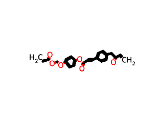 C=CC(=O)Cc1ccc(C#CC(=O)Oc2ccc(OCOC(=O)C=C)cc2)cc1